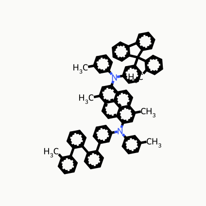 Cc1cccc(N(c2cccc(-c3ccccc3-c3ccccc3-c3ccccc3C)c2)c2cc(C)c3ccc4c(N(c5cccc(C)c5)c5cccc(C6(c7ccccc7C)c7ccccc7-c7ccccc76)c5)cc(C)c5ccc2c3c54)c1